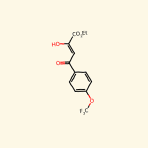 CCOC(=O)C(O)=CC(=O)c1ccc(OC(F)(F)F)cc1